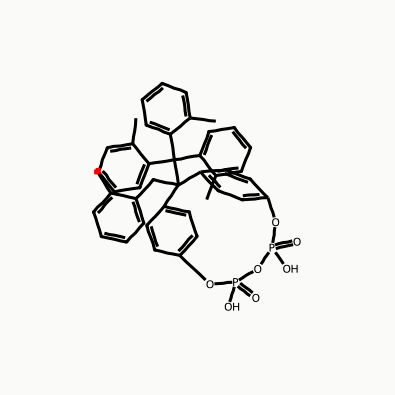 Cc1ccccc1CC1(C(c2ccccc2C)(c2ccccc2C)c2ccccc2C)c2ccc(cc2)OP(=O)(O)OP(=O)(O)Oc2ccc1cc2